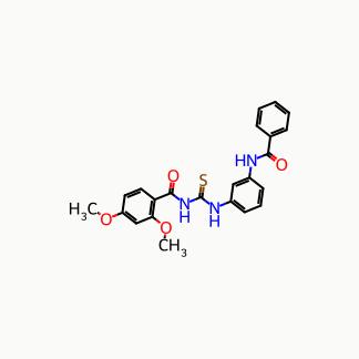 COc1ccc(C(=O)NC(=S)Nc2cccc(NC(=O)c3ccccc3)c2)c(OC)c1